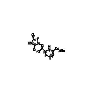 CC(C)C[C@H](NC(=O)OC(C)(C)C)C(=O)OC1CC(=O)NC1=O